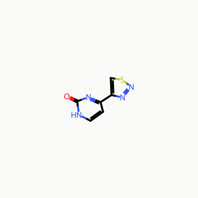 O=c1nc(-c2csnn2)cc[nH]1